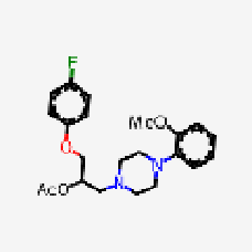 COc1ccccc1N1CCN(CC(COc2ccc(F)cc2)OC(C)=O)CC1